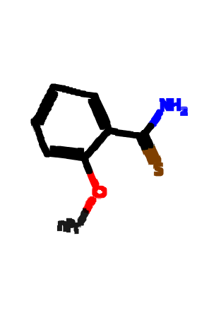 CCCOc1ccccc1C(N)=S